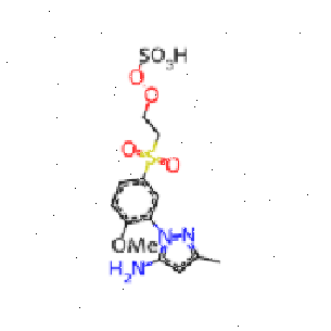 COc1ccc(S(=O)(=O)CCOOS(=O)(=O)O)cc1-n1nc(C)cc1N